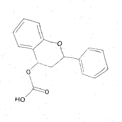 O=C(O)OC1CC(c2ccccc2)Oc2ccccc21